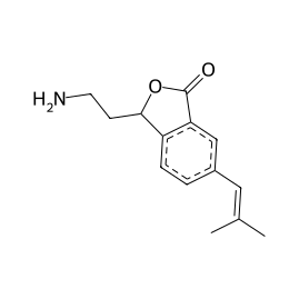 CC(C)=Cc1ccc2c(c1)C(=O)OC2CCN